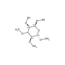 POC1[C@@H](OS)[C@@H](OS)O[C@H](OP)[C@H]1OP